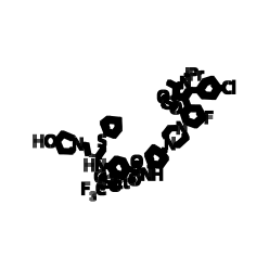 CCO[P@@](=O)(Nc1ccc(N2CCN(c3cc(F)cc(-c4c(S(C)(=O)=O)c(C)n(C(C)C)c4-c4ccc(Cl)cc4)c3)CC2)cc1)c1ccc(N[C@H](CCN2CCC(O)CC2)CSc2ccccc2)c(S(=O)(=O)C(F)(F)F)c1